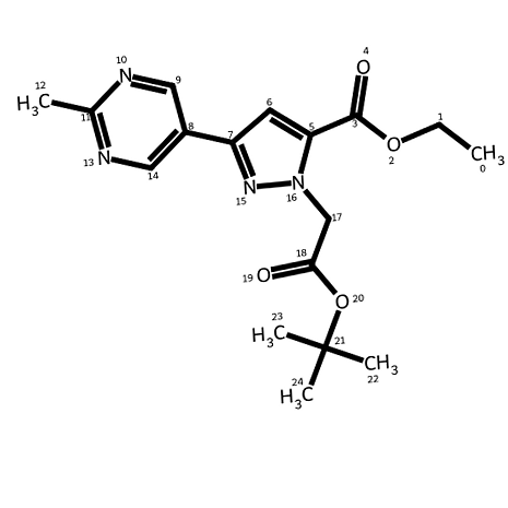 CCOC(=O)c1cc(-c2cnc(C)nc2)nn1CC(=O)OC(C)(C)C